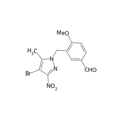 COc1ccc(C=O)cc1Cn1nc([N+](=O)[O-])c(Br)c1C